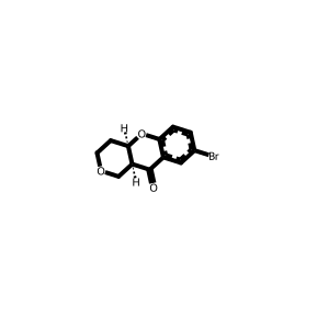 O=C1c2cc(Br)ccc2O[C@@H]2CCOC[C@H]12